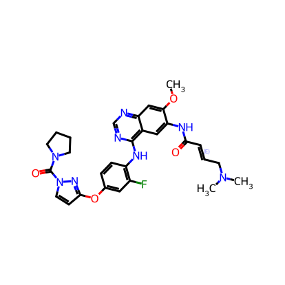 COc1cc2ncnc(Nc3ccc(Oc4ccn(C(=O)N5CCCC5)n4)cc3F)c2cc1NC(=O)/C=C/CN(C)C